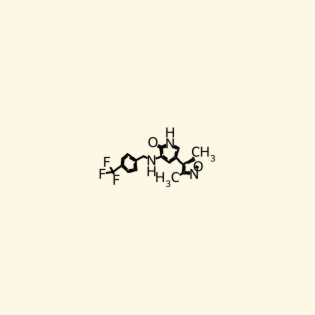 Cc1noc(C)c1-c1c[nH]c(=O)c(NCc2ccc(C(F)(F)F)cc2)c1